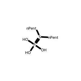 CCCCCS(CCCCC)=P(O)(O)O